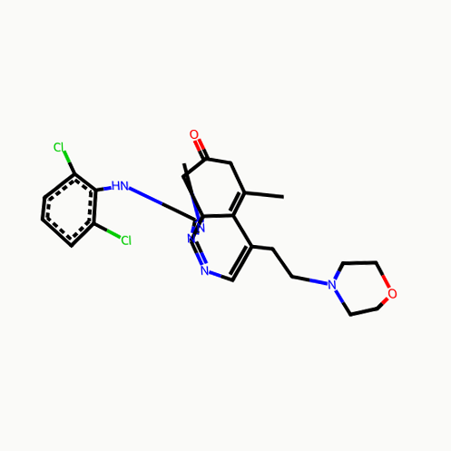 CC1=C2C(CCN3CCOCC3)=CN=C3N=C(Nc4c(Cl)cccc4Cl)N(C)C32CC(=O)C1